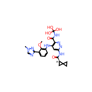 COc1c(Nc2cc(NC(=O)[C@@H]3CC34CC4)nnc2C(=O)NC(O)(O)O)cccc1-c1ncn(C)n1